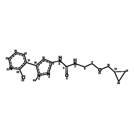 Cn1nc(NC(=O)NCCOCC2CC2)cc1-c1cccnc1Cl